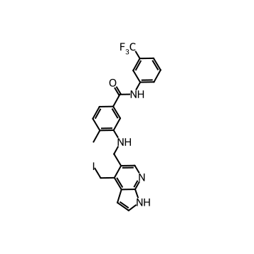 Cc1ccc(C(=O)Nc2cccc(C(F)(F)F)c2)cc1NCc1cnc2[nH]ccc2c1CI